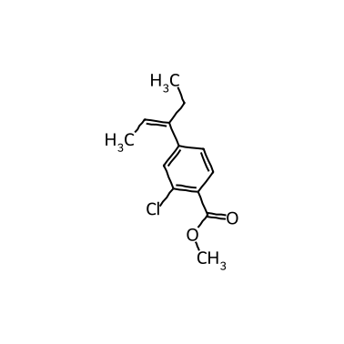 C/C=C(/CC)c1ccc(C(=O)OC)c(Cl)c1